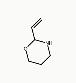 C=CC1NCCCO1